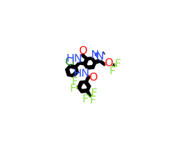 Cn1nc2c3c(c(NC(=O)c4cc(F)cc(C(F)(F)F)c4)cc2c1COC(F)F)C(c1cc(F)ccc1Cl)NC3=O